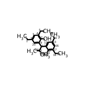 CCc1cc(CC)c(O)c(C(c2cc(CC)cc(CC)c2O)C(C)C)c1